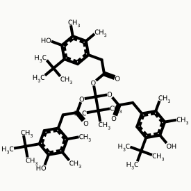 Cc1c(CC(=O)OC(OC(=O)Cc2cc(C(C)(C)C)c(O)c(C)c2C)(OC(=O)Cc2cc(C(C)(C)C)c(O)c(C)c2C)C(C)(C)C)cc(C(C)(C)C)c(O)c1C